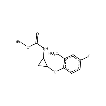 CC(C)(C)OC(=O)NC1CC1Oc1ccc(F)cc1C(=O)O